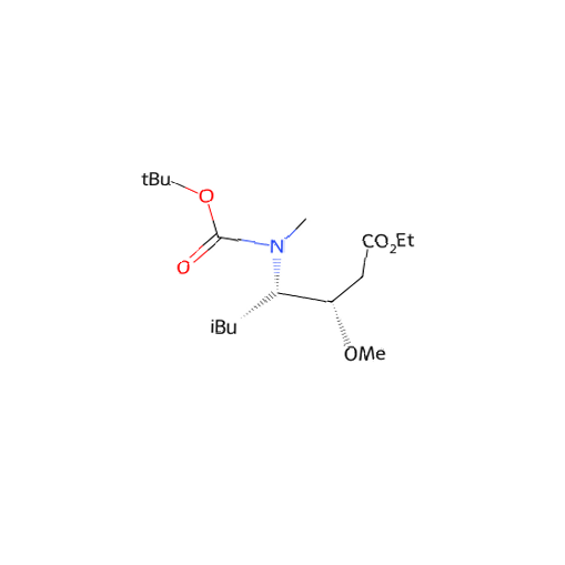 CCOC(=O)C[C@H](OC)[C@H]([C@@H](C)CC)N(C)C(=O)OC(C)(C)C